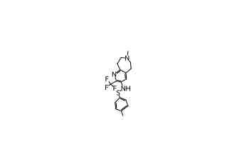 Cc1ccc(SNc2cc3c(nc2C(F)(F)F)CCN(C)CC3)cc1